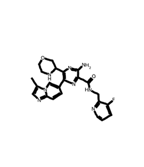 Cc1cnc2ccc(-c3nc(C(=O)NCc4ncccc4F)c(N)nc3C3COCCN3)cn12